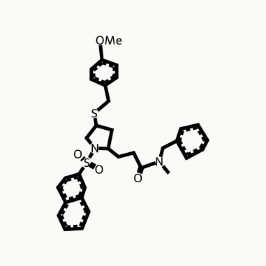 COc1ccc(CSC2CC(CCC(=O)N(C)Cc3ccccc3)N(S(=O)(=O)c3ccc4ccccc4c3)C2)cc1